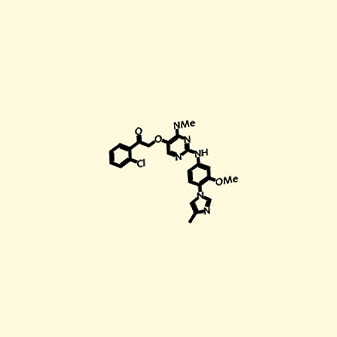 CNc1nc(Nc2ccc(-n3cnc(C)c3)c(OC)c2)ncc1OCC(=O)c1ccccc1Cl